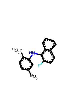 O=C(O)c1ccc([N+](=O)[O-])cc1Nc1c(F)ccc2ccccc12